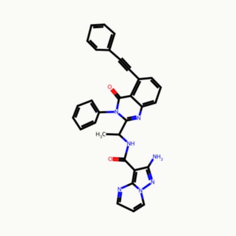 CC(NC(=O)c1c(N)nn2cccnc12)c1nc2cccc(C#Cc3ccccc3)c2c(=O)n1-c1ccccc1